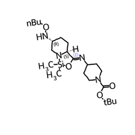 CCCCON[C@@H]1CC[C@H]2/C(=N/C3CCN(C(=O)OC(C)(C)C)CC3)O[Si](C)(C)N2C1